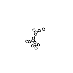 c1ccc(-c2ccc(-n3c4ccccc4c4cc(-c5ccc6c(c5)c5cc7c(cc5n6-c5ccc6ccccc6c5)C(c5ccccc5)(c5ccccc5)c5ccccc5-7)ccc43)cc2)cc1